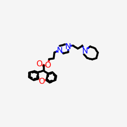 O=C(OCCCN1CCN(CCCN2CCCCCCC2)CC1)C1c2ccccc2Oc2ccccc21